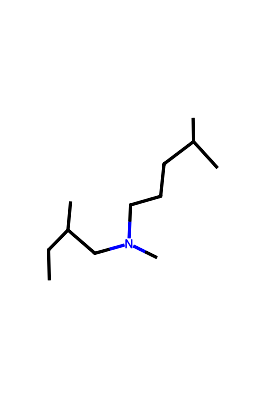 CCC(C)CN(C)CCCC(C)C